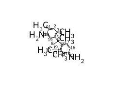 Cc1cc(C)c(C2(C)CC(C)(C)c3cc(N)ccc32)cc1N